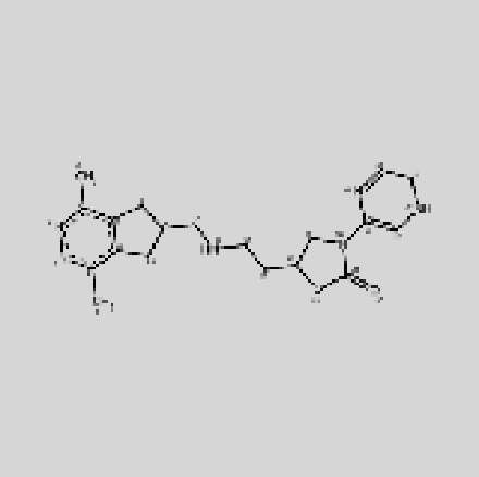 Cc1nnc(C)c2c1CC(CNCCC1CN(C3=CNCC=N3)C(=O)O1)C2